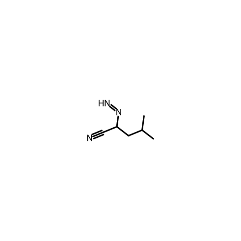 CC(C)CC(C#N)N=N